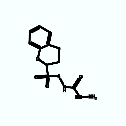 NNC(=O)NSS(=O)(=O)C1CCc2ccccc2O1